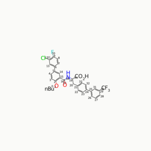 CCCCOc1ccc(-c2ccc(F)c(Cl)c2)cc1C(=O)NC(Cc1ccc(-c2cccc(C(F)(F)F)c2)cc1)C(=O)O